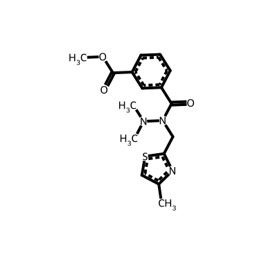 COC(=O)c1cccc(C(=O)N(Cc2nc(C)cs2)N(C)C)c1